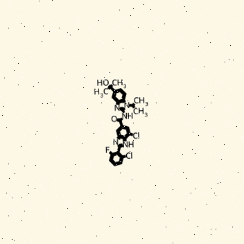 CC(C)n1c(NC(=O)c2cc(Cl)c3[nH]c(-c4c(F)cccc4Cl)nc3c2)nc2cc(C(C)(C)O)ccc21